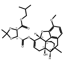 COc1ccc2c3c1O[C@H]1C(OC(=O)[C@@H]4OC(C)(C)O[C@H]4C(=O)OCC(C)C)=CC[C@@]4(O)[C@@H](C2)N(C)CC[C@]314